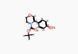 CC(C)(C)OC(=O)N1CCOC=C1c1ccc(O)cc1